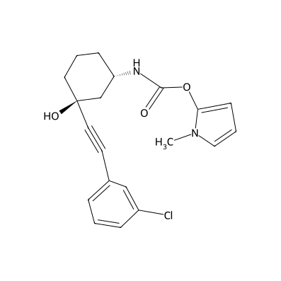 Cn1cccc1OC(=O)N[C@H]1CCC[C@@](O)(C#Cc2cccc(Cl)c2)C1